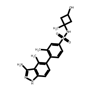 Cc1cc(S(=O)(=O)NC2(C)CC(O)C2)ccc1-c1ccc2[nH]nc(N)c2c1C